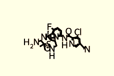 CC1(C)C(N)=N[C@](C)(c2nc(NC(=O)c3ncc(C#N)cc3Cl)ccc2F)[C@@H]2CCN[SH]21=O